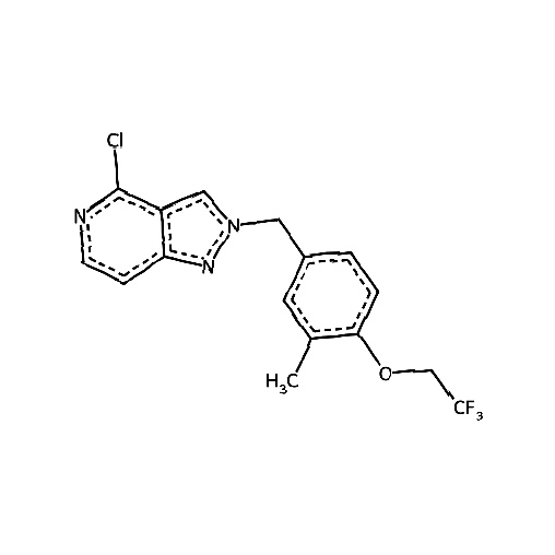 Cc1cc(Cn2cc3c(Cl)nccc3n2)ccc1OCC(F)(F)F